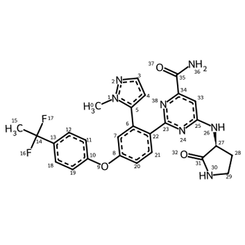 Cn1nccc1-c1cc(Oc2ccc(C(C)(F)F)cc2)ccc1-c1nc(N[C@H]2CCNC2=O)cc(C(N)=O)n1